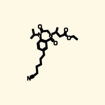 CCOC(=O)CC(C)N1CC(=O)N(C(C)C)c2ccc(CCCCCC#N)cc2C1=O